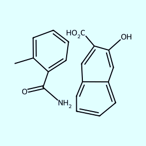 Cc1ccccc1C(N)=O.O=C(O)c1cc2ccccc2cc1O